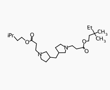 CCC(C)(C)CCOC(=O)CCN1CCC(CC2CCN(CCC(=O)OCCC(C)C)C2)C1